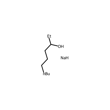 CCCCCCCC(O)CC.[NaH]